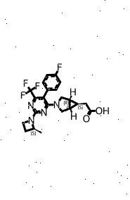 C[C@H]1CCN1c1nc(N2C[C@@H]3[C@@H](CC(=O)O)[C@@H]3C2)c(-c2ccc(F)cc2)c(C(F)(F)F)n1